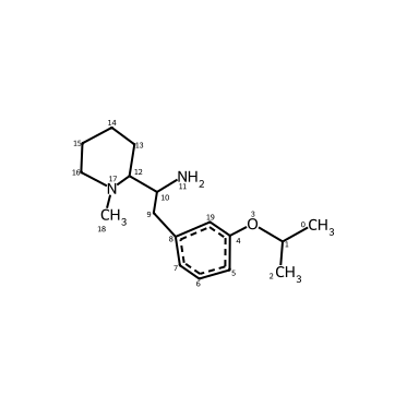 CC(C)Oc1cccc(CC(N)C2CCCCN2C)c1